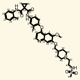 COc1cc2c(Oc3ccc(NC(=O)C4(C(=O)Nc5ccccc5F)CC4)cc3F)ccnc2cc1OCC1CCN(CCNS(C)(=O)=O)CC1